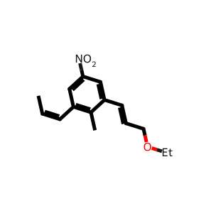 C/C=C\c1cc([N+](=O)[O-])cc(/C=C/COCC)c1C